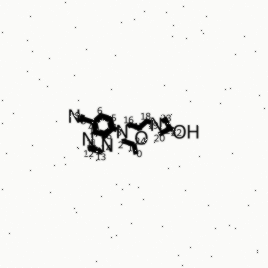 CC1CN(c2ccc(C#N)c3nccnc23)CC(CN2CC(O)C2)O1